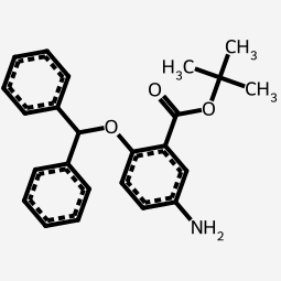 CC(C)(C)OC(=O)c1cc(N)ccc1OC(c1ccccc1)c1ccccc1